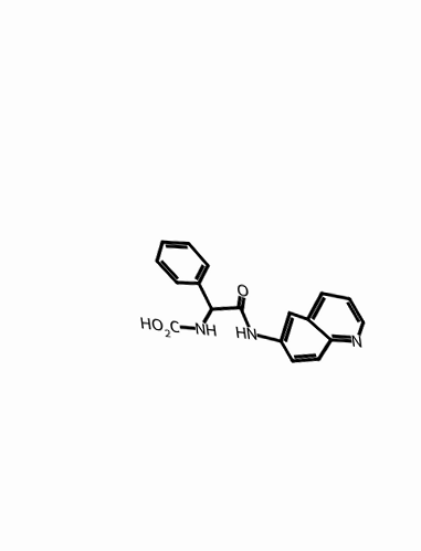 O=C(O)NC(C(=O)Nc1ccc2ncccc2c1)c1ccccc1